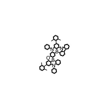 Cc1cccc(C)c1-c1cc2c3c(c1)N(c1ccccc1)c1ccccc1B3c1cc3c(cc1O2)N(c1ccccc1)c1cc(-c2c(C)cccc2C)cc2c1B3c1cccc3c4ccccc4n-2c13